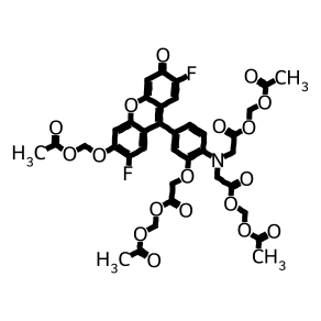 CC(=O)OCOC(=O)COc1cc(-c2c3cc(F)c(=O)cc-3oc3cc(OCOC(C)=O)c(F)cc23)ccc1N(CC(=O)OCOC(C)=O)CC(=O)OCOC(C)=O